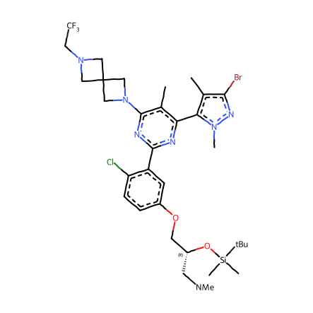 CNC[C@H](COc1ccc(Cl)c(-c2nc(-c3c(C)c(Br)nn3C)c(C)c(N3CC4(CN(CC(F)(F)F)C4)C3)n2)c1)O[Si](C)(C)C(C)(C)C